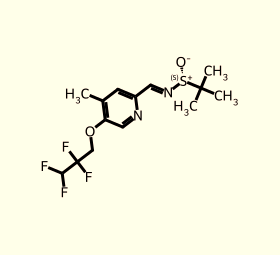 Cc1cc(C=N[S@+]([O-])C(C)(C)C)ncc1OCC(F)(F)C(F)F